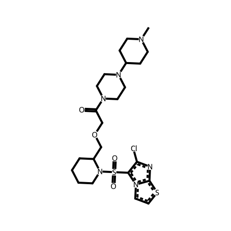 CN1CCC(N2CCN(C(=O)COCC3CCCCN3S(=O)(=O)c3c(Cl)nc4sccn34)CC2)CC1